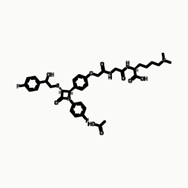 CC(=O)O.CN(C)CCCC[C@H](NC(=O)CNC(=O)COc1ccc([C@@H]2[C@@H](SCC(O)c3ccc(F)cc3)C(=O)N2c2ccc(F)cc2)cc1)C(=O)O